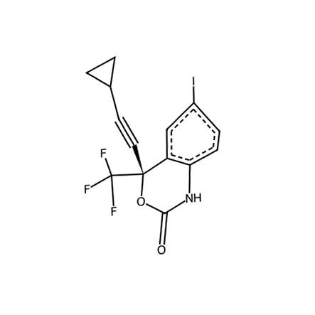 O=C1Nc2ccc(I)cc2[C@@](C#CC2CC2)(C(F)(F)F)O1